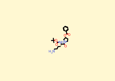 CC(C)(C)OC(=O)N[C@@H](CCCCN)C(=O)N1CC[C@@H](OC(=O)c2ccccc2)C1